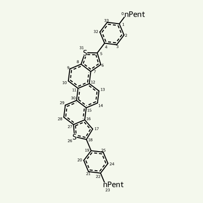 CCCCCc1ccc(-c2cc3c(ccc4c3ccc3c5cc(-c6ccc(CCCCC)cc6)sc5ccc34)s2)cc1